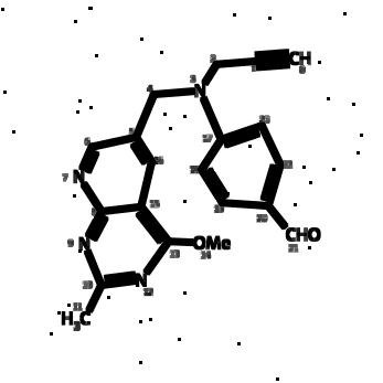 C#CCN(Cc1cnc2nc(C)nc(OC)c2c1)c1ccc(C=O)cc1